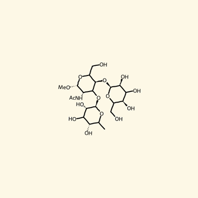 CO[C@@H]1OC(CO)[C@@H](O[C@@H]2OC(CO)[C@H](O)C(O)[C@@H]2O)C(O[C@H]2OC(C)[C@H](O)C(O)[C@@H]2O)[C@@H]1NC(C)=O